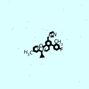 Cc1ccnc(C(C2CC2)N2CCc3c(cc(Cn4ccnc4)cc3-c3ccc(F)cc3C)C2=O)c1